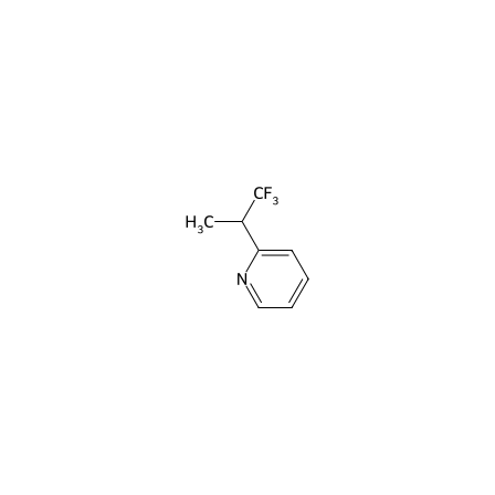 CC(c1ccccn1)C(F)(F)F